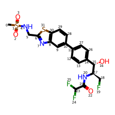 CS(=O)(=O)NCc1nc2cc(-c3ccc([C@H](O)[C@@H](CF)NC(=O)C(F)F)cc3)ccc2s1